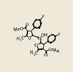 COC(=O)C1=C(C)OC(N(O)C2OC(C)=C(C(=O)OC)C2c2ccc(F)cc2)C1c1ccc(F)cc1